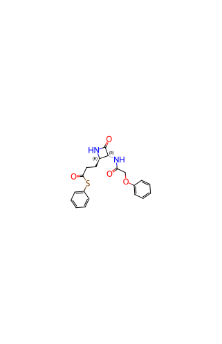 O=C(COc1ccccc1)N[C@H]1C(=O)N[C@@H]1CCC(=O)Sc1ccccc1